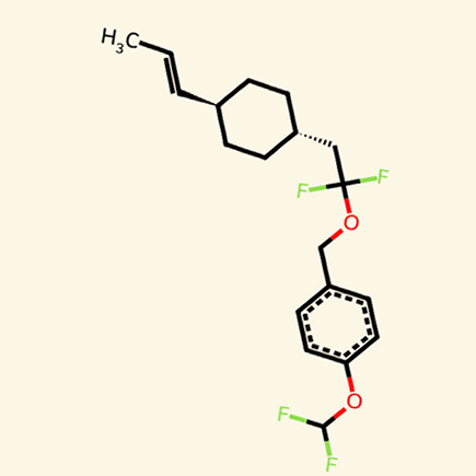 C/C=C/[C@H]1CC[C@H](CC(F)(F)OCc2ccc(OC(F)F)cc2)CC1